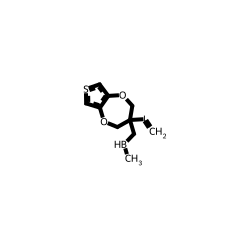 C=IC1(CBC)COc2cscc2OC1